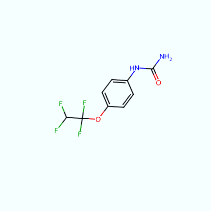 NC(=O)Nc1ccc(OC(F)(F)C(F)F)cc1